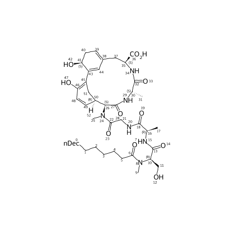 CCCCCCCCCCCCCCCC(=O)N(C)[C@H](CO)C(=O)N[C@H](C)C(=O)NCC(=O)N(C)[C@@H]1C(=O)N[C@@H](C)C(=O)N[C@H](C(=O)O)CC2=CC[C@H](O)C(=C2)C2=C(O)C=C[C@H]1C2